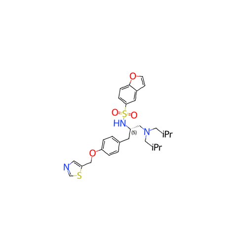 CC(C)CN(CC(C)C)C[C@H](Cc1ccc(OCc2cncs2)cc1)NS(=O)(=O)c1ccc2occc2c1